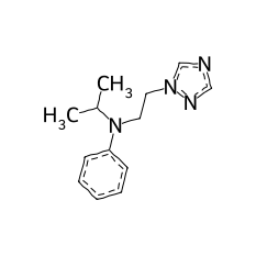 CC(C)N(CCn1cncn1)c1ccccc1